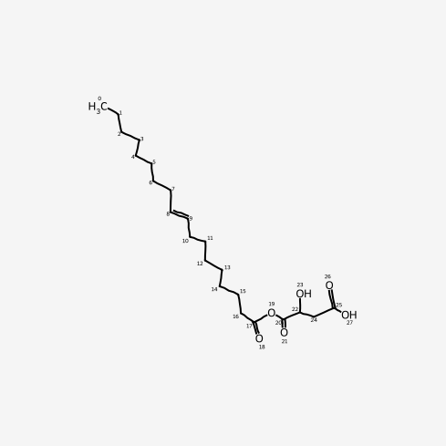 CCCCCCCCC=CCCCCCCCC(=O)OC(=O)C(O)CC(=O)O